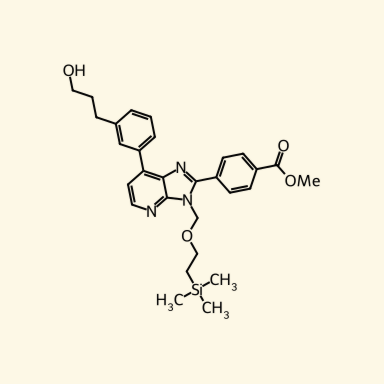 COC(=O)c1ccc(-c2nc3c(-c4cccc(CCCO)c4)ccnc3n2COCC[Si](C)(C)C)cc1